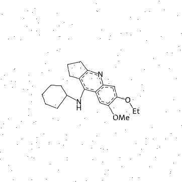 CCOc1cc2nc3c(c(NC4CCCCC4)c2cc1OC)CCC3